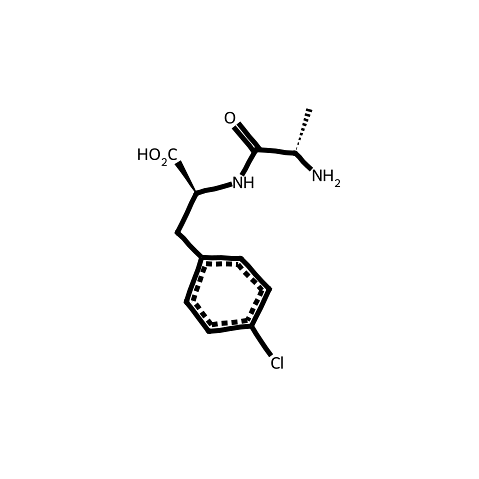 C[C@H](N)C(=O)N[C@@H](Cc1ccc(Cl)cc1)C(=O)O